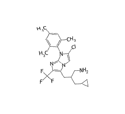 Cc1cc(C)c(-n2c(Cl)cn3c(CC(CN)CC4CC4)c(C(F)(F)F)nc23)c(C)c1